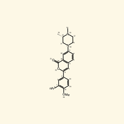 CCCc1cc(-c2cc3ccc(N4CCN(C)[C@@H](C)C4)cc3c(=O)o2)ccc1OC